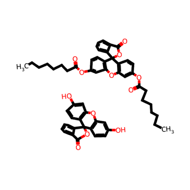 CCCCCCCC(=O)Oc1ccc2c(c1)Oc1cc(OC(=O)CCCCCCC)ccc1C21OC(=O)c2ccccc21.O=C1OC2(c3ccc(O)cc3Oc3cc(O)ccc32)c2ccccc21